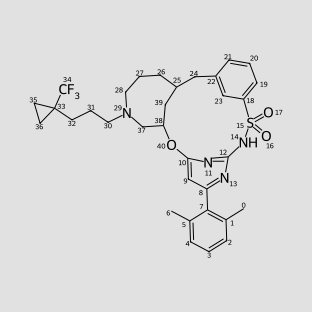 Cc1cccc(C)c1-c1cc2nc(n1)NS(=O)(=O)c1cccc(c1)CC1CCCN(CCCC3(C(F)(F)F)CC3)CC(C1)O2